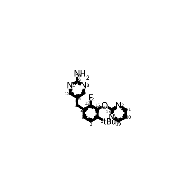 CC(C)(C)c1ccc(Cc2cnc(N)nc2)c(F)c1Oc1ncccn1